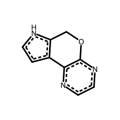 c1cnc2c(n1)OCc1[nH]ccc1-2